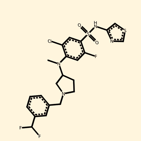 CN(c1cc(F)c(S(=O)(=O)Nc2cscn2)cc1Cl)C1CCN(Cc2cccc(C(F)F)c2)C1